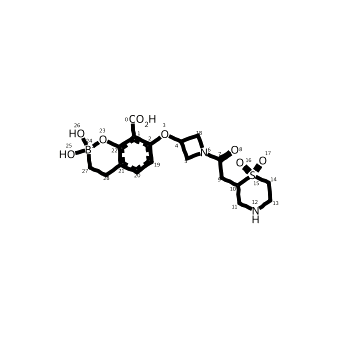 O=C(O)c1c(OC2CN(C(=O)CC3CNCCS3(=O)=O)C2)ccc2c1O[B-](O)(O)CC2